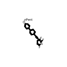 CCCCCOc1ccc(-c2ccc(C#CC3(F)CC=C(F)N=C3F)cc2)cc1